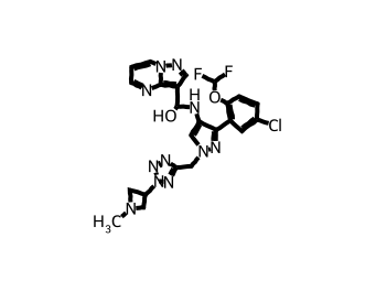 CN1CC(n2nnc(Cn3cc(NC(O)c4cnn5cccnc45)c(-c4cc(Cl)ccc4OC(F)F)n3)n2)C1